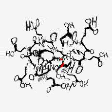 CCCNC(=O)[C@@H](CCC(=O)O)NC(=O)[C@@H](CCC(=O)O)NC(=O)[C@@H](CCC(=O)O)NC(=O)[C@@H](CCC(=O)O)NC(=O)[C@@H](CCC(=O)O)NC(=O)[C@@H](CCC(=O)O)NC(=O)[C@@H](CCC(=O)O)NC(=O)[C@@H](CCC(=O)O)NC(=O)[C@H](N)CCC(=O)O